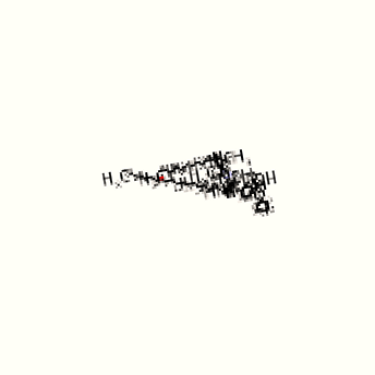 CCCCCCCCCCCCCCCCCC(=O)Nc1nn(-c2ccc(Oc3ccccc3)c(S(=O)(=O)O)c2)c(O)c1/N=N/c1c(C)nn(CCCCCCCCCC)c1C